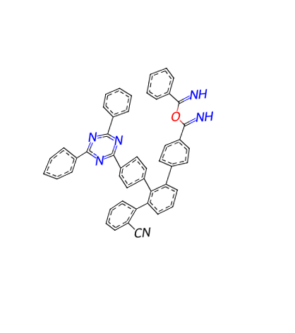 N#Cc1ccccc1-c1cccc(-c2ccc(C(=N)OC(=N)c3ccccc3)cc2)c1-c1ccc(-c2nc(-c3ccccc3)nc(-c3ccccc3)n2)cc1